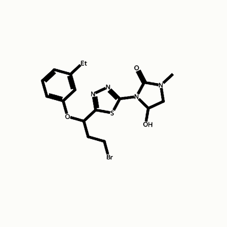 CCc1cccc(OC(CCBr)c2nnc(N3C(=O)N(C)CC3O)s2)c1